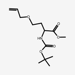 C=CCOCCC(NC(=O)OC(C)(C)C)C(=O)OC